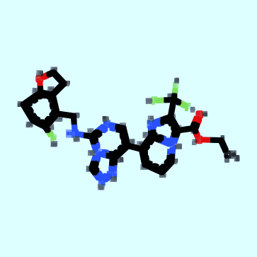 CCOC(=O)c1c(C(F)(F)F)nc2c(-c3cnc(NCc4c(F)ccc5c4CCO5)n4cnnc34)cccn12